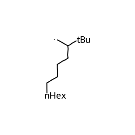 [CH2]C(CCCCCCCCCC)C(C)(C)C